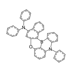 c1ccc(N2c3ccccc3B3c4c(cccc42)Oc2cc(N(c4ccccc4)c4ccccc4)c4ccccc4c23)cc1